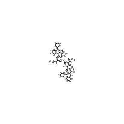 CN[C@@H](C)C(=O)N[C@@H](CC#CC[C@H](NC(=O)[C@H](C)NC)C(=O)N1CCC[C@H]1C(=O)NC(c1ccccc1)c1ccccc1)C(=O)N1CCC[C@H]1C(=O)NC(c1ccccc1)c1ccccc1